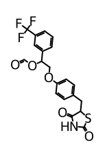 O=COC(COc1ccc(CC2SC(=O)NC2=O)cc1)c1cccc(C(F)(F)F)c1